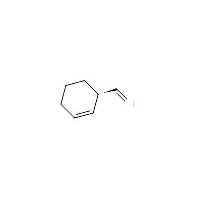 C=C[C@H]1C=CCCC1